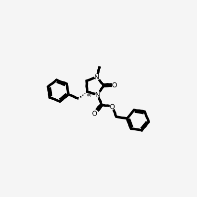 CN1C[C@@H](Cc2ccccc2)N(C(=O)OCc2ccccc2)C1=O